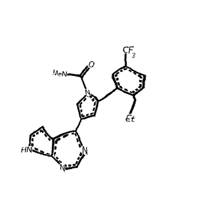 CCc1ccc(C(F)(F)F)cc1-c1cc(-c2ncnc3[nH]ccc23)cn1C(=O)NC